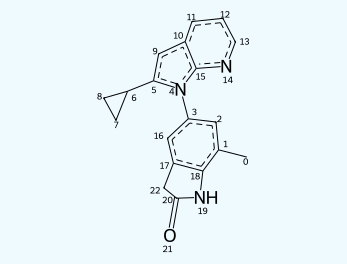 Cc1cc(-n2c(C3CC3)cc3cccnc32)cc2c1NC(=O)C2